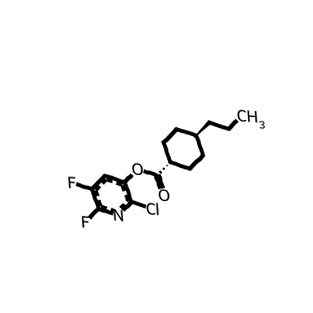 CCC[C@H]1CC[C@H](C(=O)Oc2cc(F)c(F)nc2Cl)CC1